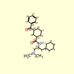 CN(C)C[C@H](CC1CCCCC1)NC(=O)C1CCCC(C(=O)c2ccccc2)C1